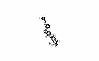 CC1(C(=O)N2CCC(O)(Cn3cnc4c(cnn4-c4cccc(OCC5CC(F)(F)C5)c4)c3=O)CC2)CC1